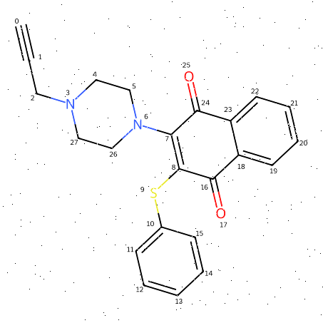 C#CCN1CCN(C2=C(Sc3ccccc3)C(=O)c3ccccc3C2=O)CC1